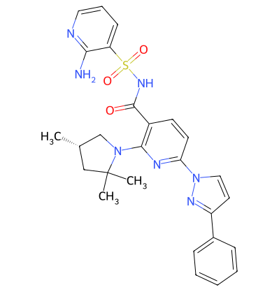 C[C@@H]1CN(c2nc(-n3ccc(-c4ccccc4)n3)ccc2C(=O)NS(=O)(=O)c2cccnc2N)C(C)(C)C1